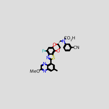 COc1cnc2c(-c3nc4c(F)cc5c(c4s3)OC[C@@H](CN(C(=O)O)c3cccc(C#N)c3)O5)cc(C)cc2n1